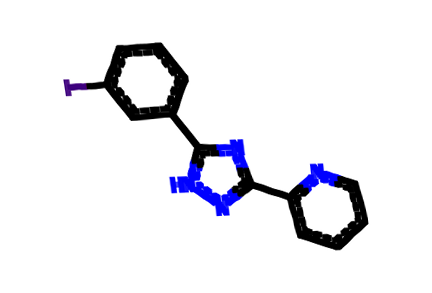 Ic1cccc(-c2nc(-c3ccccn3)n[nH]2)c1